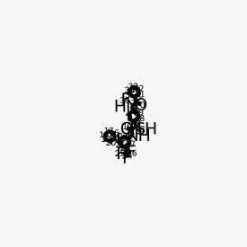 O=C(Nc1ccc(N(S)C(=O)Nc2cc(N3CCCCC3)cc(C(F)(F)F)c2)cc1)c1ccccc1F